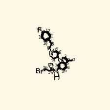 Cc1cn(C2CCN(CCc3ccc(F)cc3)CC2)c2cc(NC(=O)CCBr)ccc12